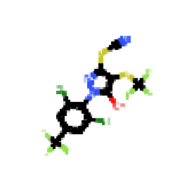 N#CSc1nn(-c2c(Cl)cc(C(F)(F)F)cc2Cl)c(O)c1SC(F)(F)F